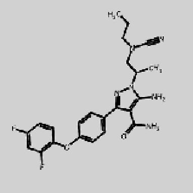 CCCN(C#N)C[C@@H](C)n1nc(-c2ccc(Oc3ccc(F)cc3F)cc2)c(C(N)=O)c1N